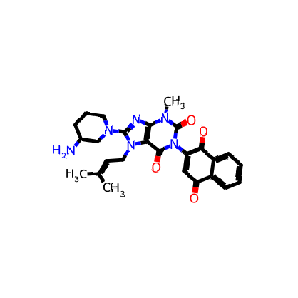 CC(C)=CCn1c(N2CCCC(N)C2)nc2c1c(=O)n(C1=CC(=O)c3ccccc3C1=O)c(=O)n2C